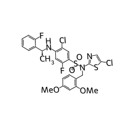 COc1ccc(CN(c2ncc(Cl)s2)S(=O)(=O)c2cc(Cl)c(N[C@@H](C)c3ccccc3F)cc2F)c(OC)c1